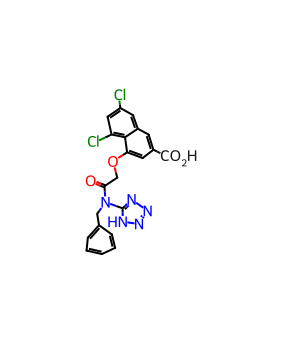 O=C(O)c1cc(OCC(=O)N(Cc2ccccc2)c2nnn[nH]2)c2c(Cl)cc(Cl)cc2c1